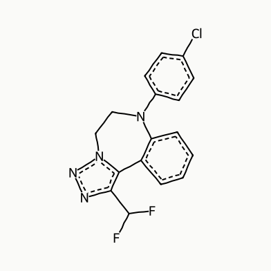 FC(F)c1nnn2c1-c1ccccc1N(c1ccc(Cl)cc1)CC2